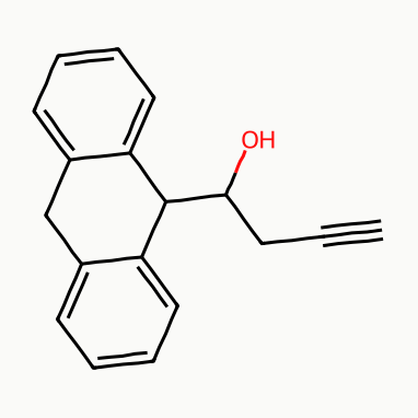 C#CCC(O)C1c2ccccc2Cc2ccccc21